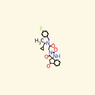 C[C@@H](C1CC1)N(Cc1ccc(F)cc1)C(=O)CN1C(=O)NC2(CC(=O)c3ccccc32)C1=O